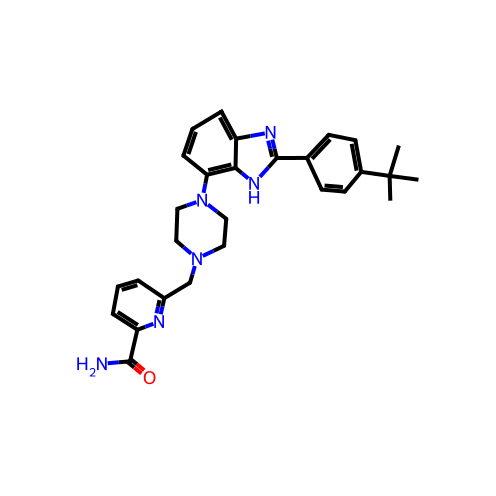 CC(C)(C)c1ccc(-c2nc3cccc(N4CCN(Cc5cccc(C(N)=O)n5)CC4)c3[nH]2)cc1